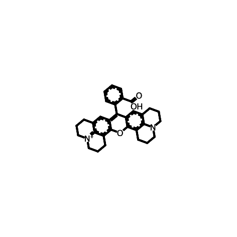 O=C(O)c1ccccc1C1=c2cc3c4c(c2Oc2c1cc1c5c2CCCN5CCC1)CCC[N+]=4CCC3